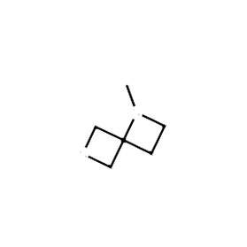 CN1CCC12C[N]C2